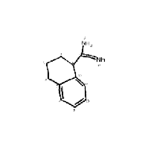 N=C(N)C1CCCc2ccccc21